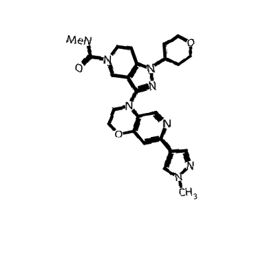 CNC(=O)N1CCc2c(c(N3CCOc4cc(-c5cnn(C)c5)ncc43)nn2C2CCOCC2)C1